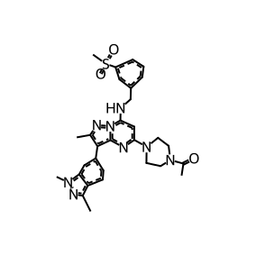 CC(=O)N1CCN(c2cc(NCc3cccc(S(C)(=O)=O)c3)n3nc(C)c(-c4ccc5c(C)nn(C)c5c4)c3n2)CC1